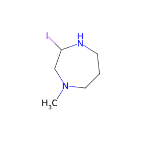 CN1CCCNC(I)C1